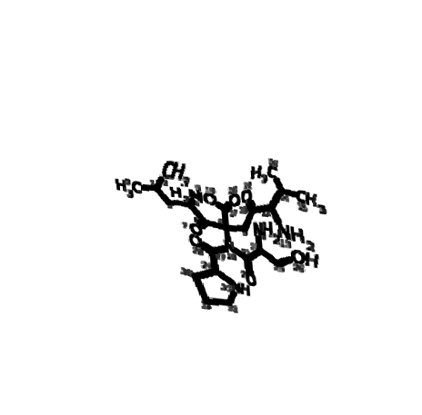 CC(C)CC(N)C(=O)C(CC(=O)C(N)C(C)C)(C(=O)O)N(C(=O)C(N)CO)C(=O)C1CCCN1